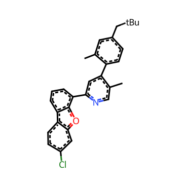 Cc1cc(CC(C)(C)C)ccc1-c1cc(-c2cccc3c2oc2cc(Cl)ccc23)ncc1C